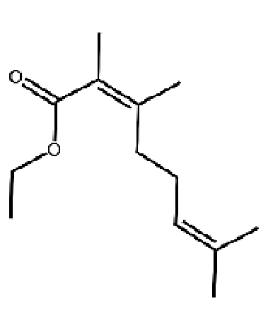 CCOC(=O)C(C)=C(C)CCC=C(C)C